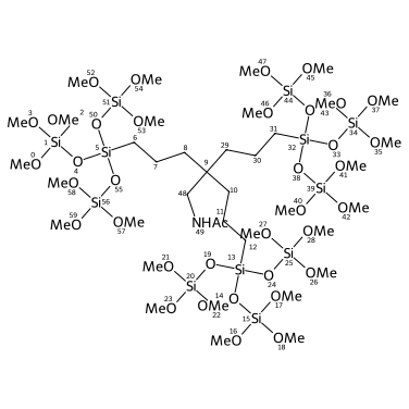 CO[Si](OC)(OC)O[Si](CCCC(CCC[Si](O[Si](OC)(OC)OC)(O[Si](OC)(OC)OC)O[Si](OC)(OC)OC)(CCC[Si](O[Si](OC)(OC)OC)(O[Si](OC)(OC)OC)O[Si](OC)(OC)OC)CNC(C)=O)(O[Si](OC)(OC)OC)O[Si](OC)(OC)OC